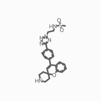 CS(=O)(=O)NCCn1nnc(-c2ccc(C3=CC4(CCNCC4)Oc4ccccc43)cc2)n1